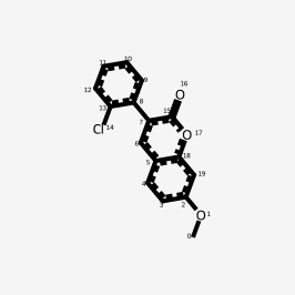 COc1ccc2cc(-c3ccccc3Cl)c(=O)oc2c1